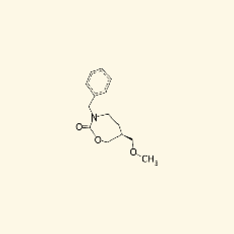 COC[C@@H]1CCN(Cc2ccccc2)C(=O)OC1